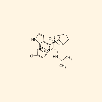 CC(C)NC[C@@H](C(=O)N1C2CCC1CN(c1ncnc3[nH]ccc13)C2)c1ccc(Cl)cc1